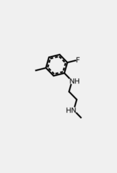 CNCCNc1cc(C)ccc1F